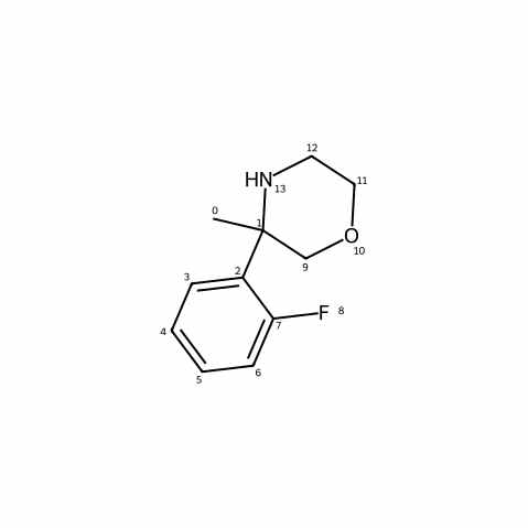 CC1(c2ccccc2F)COCCN1